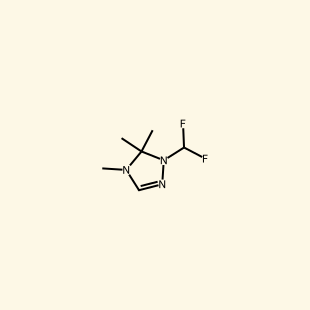 CN1C=NN(C(F)F)C1(C)C